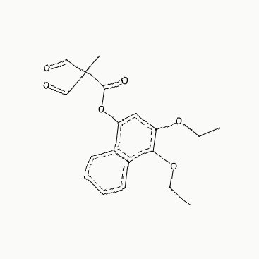 CCOc1cc(OC(=O)C(C)(C=O)C=O)c2ccccc2c1OCC